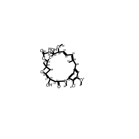 COc1cc2cc(c1Cl)N(C)C(=O)CC(O)C1(C)CC(C)(O1)C1CC(O)(NC(=O)O1)C(OC)/C=C/C=C(\C)C2